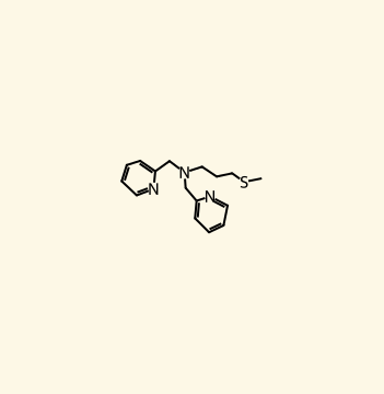 CSCCCN(Cc1ccccn1)Cc1ccccn1